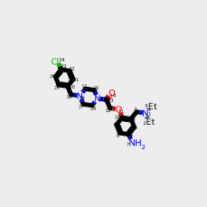 CCN(CC)Cc1cc(N)ccc1OCC(=O)N1CCN(Cc2ccc(Cl)cc2)CC1